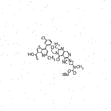 Cc1cc(-c2cc(Cl)ccc2OCCn2c(C)nc3cnc(N4CC(N(C)C(=O)OC(C)(C)C)C4)c(C#N)c3c2=O)c2scc(C(O)=S)c2n1